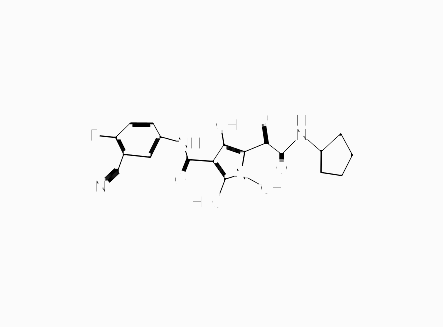 Cc1c(C(=O)Nc2ccc(F)c(C#N)c2)c(C)n(C)c1C(=O)C(=O)NC1CCCC1